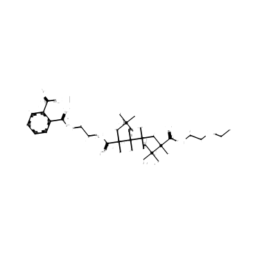 CCOCCOC(=O)C(C)(CC(C)(C)C(C)(C)C(C)(CC(C)(C)C)C(=O)OCCOC(=O)c1ccccc1C(=O)O)C(C)(C)C